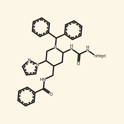 CCCCCCCNC(=O)NC1CC(CNC(=O)c2ccccc2)C(n2cccn2)CN1C(c1ccccc1)c1ccccc1